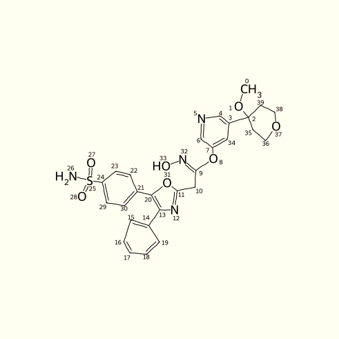 COC1(c2cncc(OC(Cc3nc(-c4ccccc4)c(-c4ccc(S(N)(=O)=O)cc4)o3)=NO)c2)CCOCC1